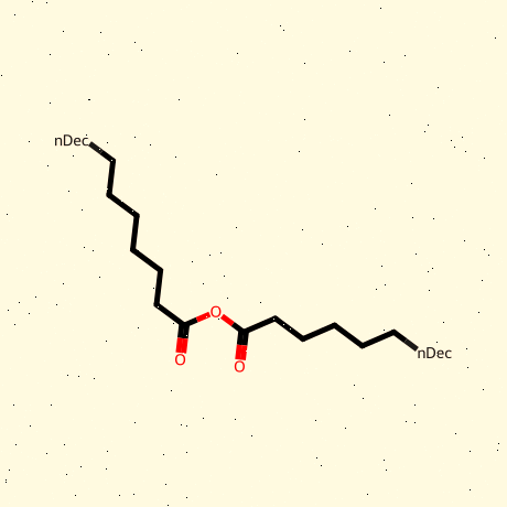 CCCCCCCCCCCCCCCCC(=O)OC(=O)CCCCCCCCCCCCCCC